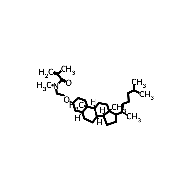 C=C(C)C(=O)N(C)CCO[C@H]1CC[C@@]2(C)[C@@H](CC[C@@H]3[C@@H]2CC[C@]2(C)C([C@H](C)CCCC(C)C)CC[C@@H]32)C1